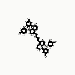 Cc1ccc(N(c2ccc(C)cc2)c2ccc(C=CC=Cc3ccc(N(c4ccc(C)cc4)c4ccc(C)cc4)c4ncccc34)c3cccnc23)cc1